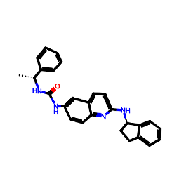 C[C@@H](NC(=O)Nc1ccc2nc(N[C@@H]3CCc4ccccc43)ccc2c1)c1ccccc1